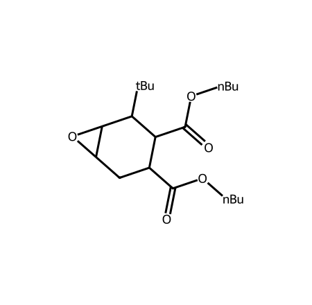 CCCCOC(=O)C1CC2OC2C(C(C)(C)C)C1C(=O)OCCCC